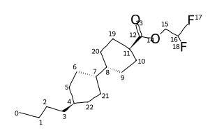 CCCC[C@H]1CC[C@H]([C@H]2CC[C@H](C(=O)OCC(F)F)CC2)CC1